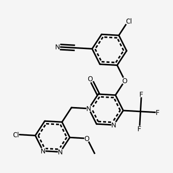 COc1nnc(Cl)cc1Cn1cnc(C(F)(F)F)c(Oc2cc(Cl)cc(C#N)c2)c1=O